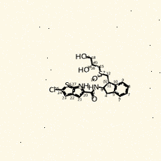 O=C(N[C@@H]1Cc2ccccc2[C@@H]1C[S+]([O-])C[C@H](O)CO)c1cc2cc(Cl)sc2[nH]1